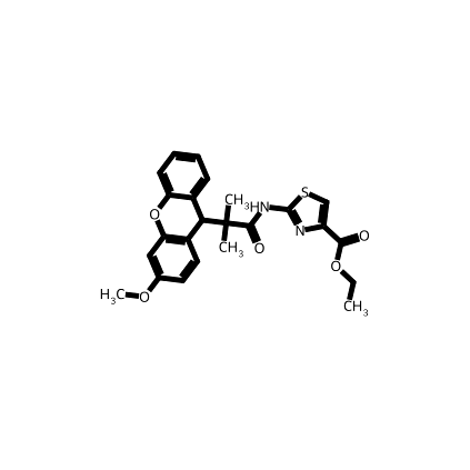 CCOC(=O)c1csc(NC(=O)C(C)(C)C2c3ccccc3Oc3cc(OC)ccc32)n1